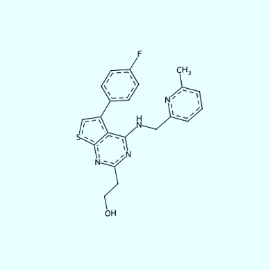 Cc1cccc(CNc2nc(CCO)nc3scc(-c4ccc(F)cc4)c23)n1